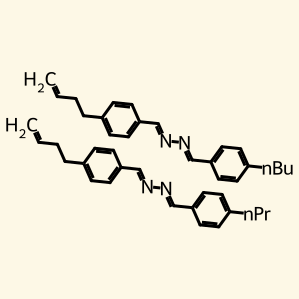 C=CCCc1ccc(/C=N/N=C/c2ccc(CCC)cc2)cc1.C=CCCc1ccc(/C=N/N=C/c2ccc(CCCC)cc2)cc1